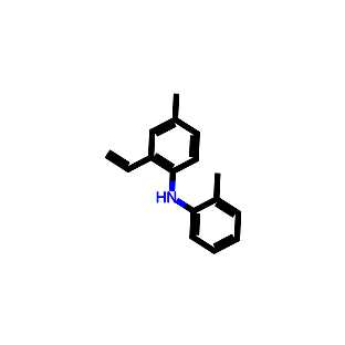 C=Cc1cc(C)ccc1Nc1ccccc1C